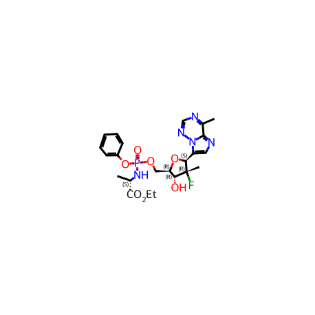 CCOC(=O)[C@H](C)NP(=O)(OC[C@H]1O[C@@H](c2cnc3c(C)ncnn23)[C@](C)(F)[C@@H]1O)Oc1ccccc1